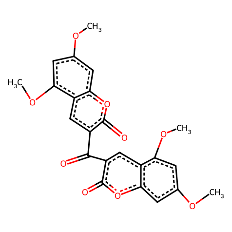 COc1cc(OC)c2cc(C(=O)c3cc4c(OC)cc(OC)cc4oc3=O)c(=O)oc2c1